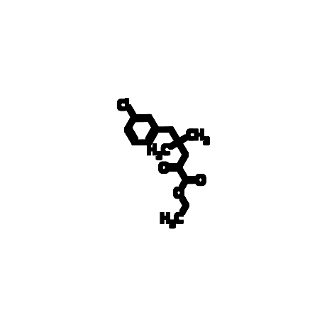 CCOC(=O)C(=O)CC(C)(C)Cc1cccc(Cl)c1